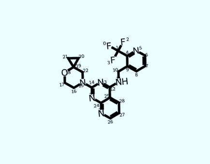 FC(F)(F)c1ncccc1CNc1nc(N2CCOC3(CC3)C2)nc2ncccc12